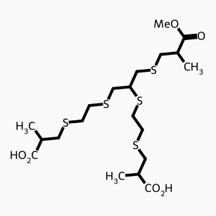 COC(=O)C(C)CSCC(CSCCSCC(C)C(=O)O)SCCSCC(C)C(=O)O